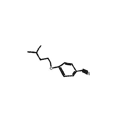 CC(C)CCOc1ccc(C#N)cc1